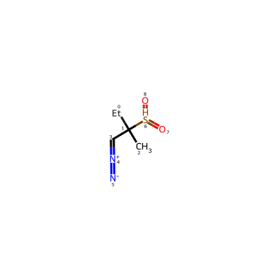 CCC(C)(C=[N+]=[N-])[SH](=O)=O